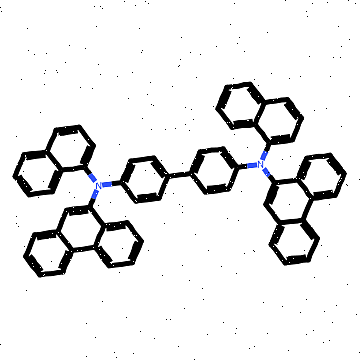 c1ccc2c(N(c3ccc(-c4ccc(N(c5cccc6ccccc56)c5cc6ccccc6c6ccccc56)cc4)cc3)c3cc4ccccc4c4ccccc34)cccc2c1